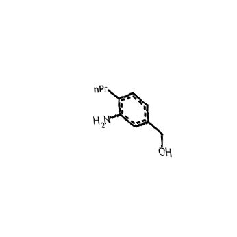 CCCc1ccc(CO)cc1N